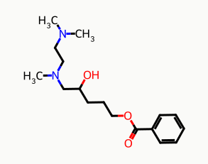 CN(C)CCN(C)CC(O)CCCOC(=O)c1ccccc1